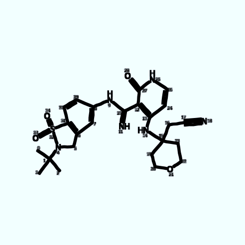 CC(C)(C)N1Cc2cc(NC(=N)c3c(NC4(CC#N)CCOCC4)cc[nH]c3=O)ccc2S1(=O)=O